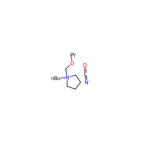 CCCC[N+]1(COC(C)C)CCCC1.[N-]=C=O